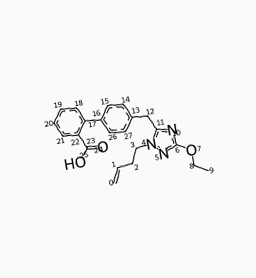 C=CCCn1nc(OCC)nc1Cc1ccc(-c2ccccc2C(=O)O)cc1